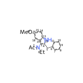 CCN(C(C)=O)c1c(Cc2ccccc2)[nH]c2ccc(OC)cc12